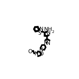 Nc1ncc(-c2cnn(C3CCN(C4CN(CC=O)CCO4)CC3)c2)cc1-c1nc2ccccc2s1